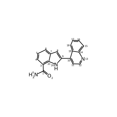 NC(=O)c1cccc2cc(-c3ccnc4ccccc34)[nH]c12